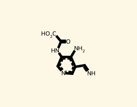 N=Cc1cncc(NC(=O)C(=O)O)c1N